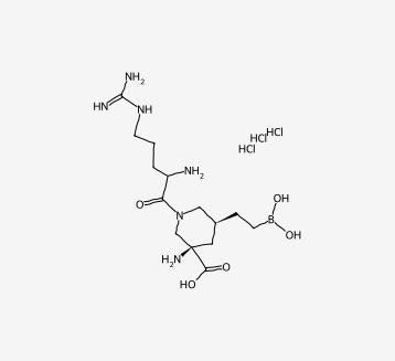 Cl.Cl.Cl.N=C(N)NCCCC(N)C(=O)N1C[C@@H](CCB(O)O)C[C@](N)(C(=O)O)C1